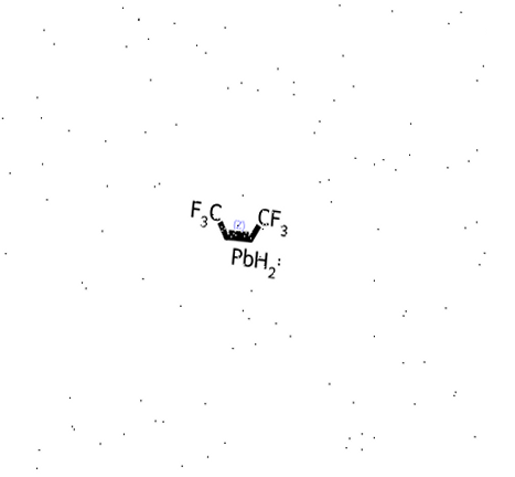 FC(F)(F)/C=C\C(F)(F)F.[PbH2]